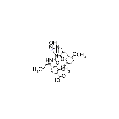 CCC[C@@H](NC(=O)N1C/C(=N/O)NC[C@H](Cc2cc(Cl)ccc2OC)C1=O)c1ccc(C(=O)O)c(C)c1